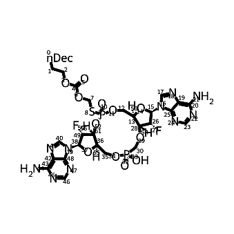 CCCCCCCCCCCCOC(=O)OCSP1(=O)OC[C@H]2O[C@@H](n3cnc4c(N)ncnc43)[C@H](F)[C@@H]2OCP(=O)(O)OC[C@H]2O[C@@H](n3cnc4c(N)ncnc43)[C@H](F)[C@@H]2O1